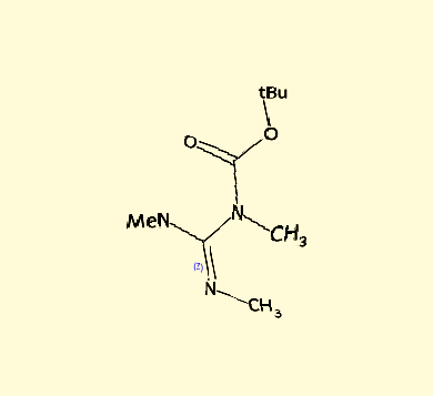 C/N=C(/NC)N(C)C(=O)OC(C)(C)C